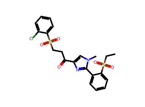 CCS(=O)(=O)c1ccccc1-c1nc(C(=O)CCS(=O)(=O)c2ccccc2Cl)cn1C